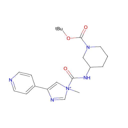 CC(C)(C)OC(=O)N1CCCC(NC(=O)[N+]2(C)C=NC(c3ccncc3)=C2)C1